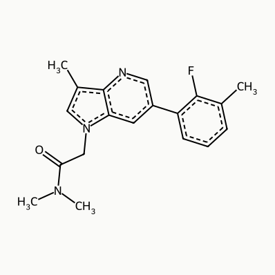 Cc1cccc(-c2cnc3c(C)cn(CC(=O)N(C)C)c3c2)c1F